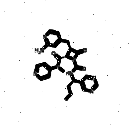 CCC[C@@H](NC(=O)N1C(=O)[C@H](Cc2ccnc(N)c2)[C@H]1C(=O)N(C)c1ccncc1)c1cncnc1